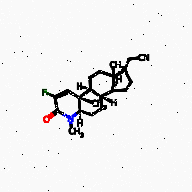 CN1C(=O)C(F)=C[C@]2(C)[C@H]3CC[C@]4(C)[C@@H](CC#N)CC[C@H]4[C@@H]3CC[C@@H]12